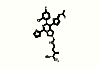 C=C(CCNC[C@H]1CC2=C(C3=N/C(=C/C(C)F)C=C3)[C@H](c3ccc(F)cc3Cl)N=C(c3cccs3)N2C1)[C@@H](CCCC)C(F)(F)F